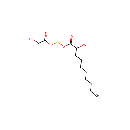 CCCCCCCCC(O)C(=O)OSOC(=O)CO